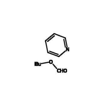 CCC(C)OC=O.c1ccncc1